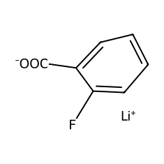 O=C([O-])c1ccccc1F.[Li+]